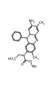 CC1=CC2=Nc3cc(C)c(N(CC(=O)O)C(=O)OC(C)(C)C)cc3N(c3ccccc3)C2C=C1N